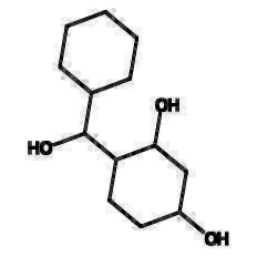 OC1CCC(C(O)C2CCCCC2)C(O)C1